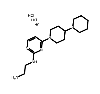 Cl.Cl.Cl.NCCNc1nccc(N2CCC(N3CCCCC3)CC2)n1